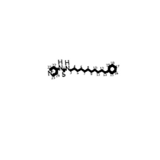 S=C(NCCCCCCCCCCCc1ccccc1)Nc1ccncc1